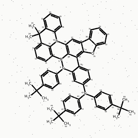 CC(C)(C)c1ccc(N2B3c4cccc5c4N(c4ccccc4C5(C)C)c4cc5c(oc6ccccc65)c(c43)-c3ccc(N(c4ccc(C(C)(C)C)cc4)c4ccc(C(C)(C)C)cc4)cc32)cc1